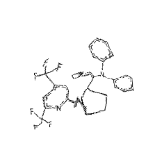 O=C(C1CCCN1c1cc(C(F)(F)F)cc(C(F)(F)F)n1)N(c1ccccc1)c1ccccc1